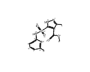 COC(=O)c1c(C)n[nH]c1S(=O)(=O)Nc1cccc(C)n1